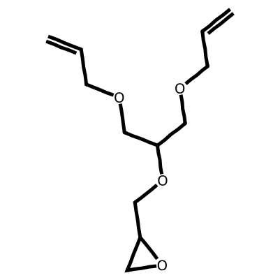 C=CCOCC(COCC=C)OCC1CO1